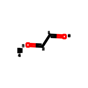 O=CC=O.[B]